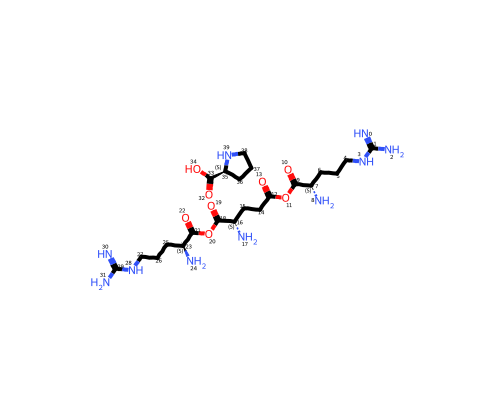 N=C(N)NCCC[C@H](N)C(=O)OC(=O)CC[C@H](N)C(=O)OC(=O)[C@@H](N)CCCNC(=N)N.O=C(O)[C@@H]1CCCN1